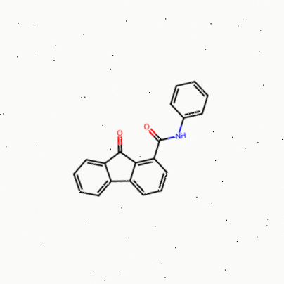 O=C(Nc1ccccc1)c1cccc2c1C(=O)c1ccccc1-2